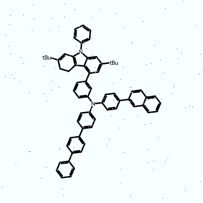 CC(C)(C)C1=Cc2c(c3c(-c4cccc(N(c5ccc(-c6ccc(-c7ccccc7)cc6)cc5)c5ccc(-c6ccc7ccccc7c6)cc5)c4)cc(C(C)(C)C)cc3n2-c2ccccc2)CC1